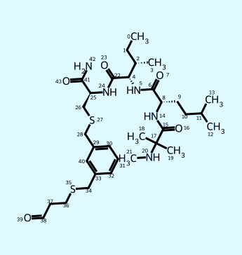 CC[C@H](C)[C@H](NC(=O)[C@H](CCC(C)C)NC(=O)C(C)(C)NC)C(=O)N[C@@H](CSCc1cccc(CSCCC=O)c1)C(N)=O